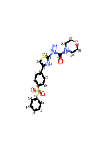 O=C(Nc1nc(-c2ccc(S(=O)(=O)c3ccccc3)cc2)cs1)N1CCOCC1